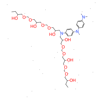 CCC(O)COCOCC(O)COCOCC(O)CN(CC(O)COCOCC(O)COCOCC(O)CC)c1ccc(N(C)c2ccc(N(C)C)cc2)cc1